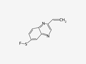 C=Cc1cnc2cc(SF)ccc2n1